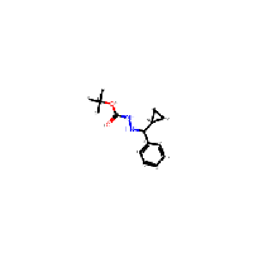 CC(C)(C)OC(=O)NNC(c1ccccc1)C1CC1